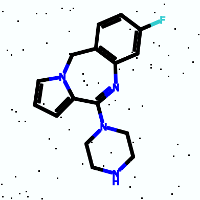 Fc1ccc2c(c1)N=C(N1CCNCC1)c1cccn1C2